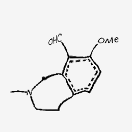 COc1ccc2c(c1C=O)CN(C)CC2